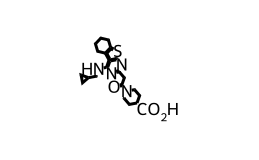 O=C(O)C1CCN(C(=O)Cc2nc(NCC3CC3)c3c4c(sc3n2)CCCC4)CC1